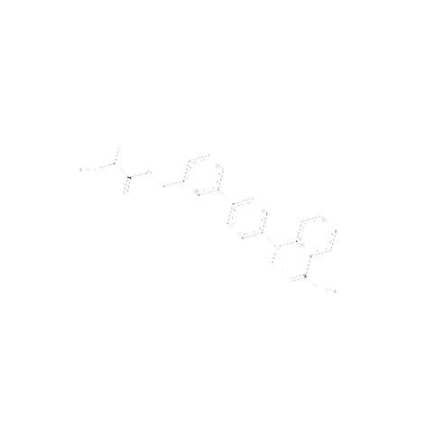 CCCCCCC(C)C(=O)NCc1cccc(-c2ccc(N(C)c3ccccc3C(=O)OC)cc2)c1